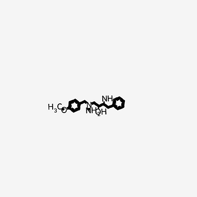 COc1ccc(CN(N)C[C@H](O)[C@@H](N)Cc2ccccc2)cc1